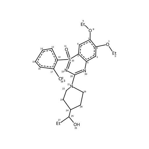 CCOc1cc2c(cc1OCC)S(=O)(c1ccccc1C(F)(F)F)=NC(N1CCC(C(O)CC)CC1)=N2